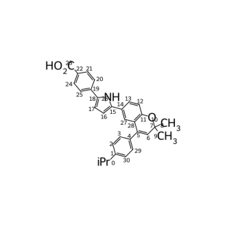 CC(C)c1ccc(C2=CC(C)(C)Oc3ccc(-c4ccc(-c5ccc(C(=O)O)cc5)[nH]4)cc32)cc1